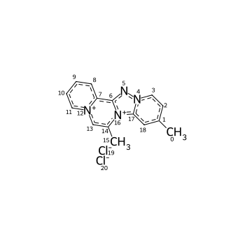 Cc1ccn2nc3c4cccc[n+]4cc(C)[n+]3c2c1.[Cl-].[Cl-]